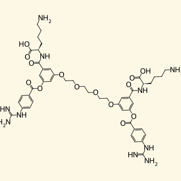 N=C(N)Nc1ccc(C(=O)Oc2cc(OCCOCCOCCOc3cc(OC(=O)c4ccc(NC(=N)N)cc4)cc(C(=O)N[C@H](CCCCN)C(=O)O)c3)cc(C(=O)N[C@H](CCCCN)C(=O)O)c2)cc1